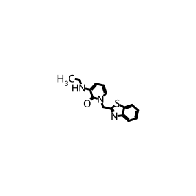 CCNc1cccn(Cc2nc3ccccc3s2)c1=O